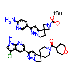 CC(C)(C)OC(=O)N1CC2(CCn3nc(-c4ccc(N)nc4)cc32)C1.O=C(C1CCOCC1)N1CCC2(CC1)CCn1nc(-c3cnc4[nH]cc(Cl)c4c3)cc12